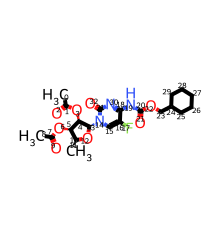 CC(=O)O[C@@H]1[C@H](OC(C)=O)[C@@H](C)O[C@H]1n1cc(F)c(NC(=O)OCC2CCCCC2)nc1=O